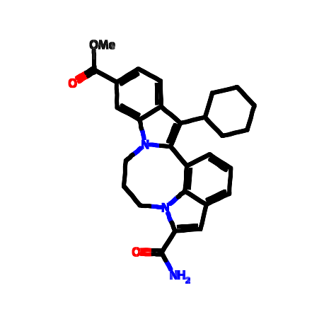 COC(=O)c1ccc2c(C3CCCCC3)c3n(c2c1)CCCn1c(C(N)=O)cc2cccc-3c21